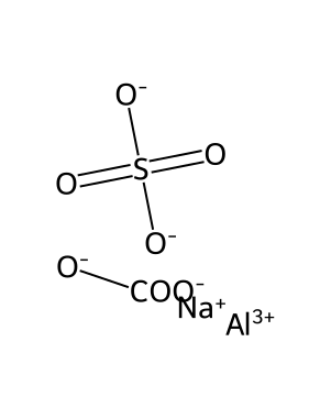 O=C([O-])[O-].O=S(=O)([O-])[O-].[Al+3].[Na+]